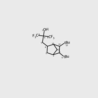 CC(C)(C)C1C2CC(CC(O)(C(F)(F)F)C(F)(F)F)C(C2)C1C(C)(C)C